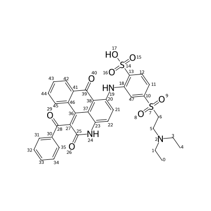 CCN(CC)CCS(=O)(=O)c1ccc(S(=O)(=O)O)c(Nc2ccc3[nH]c(=O)c(C(=O)c4ccccc4)c4c3c2C(=O)c2ccccc2-4)c1